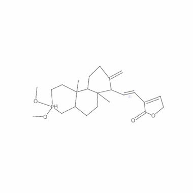 C=C1CCC2C3(C)CC[PH](OC)(OC)CC3CCC2(C)C1/C=C/C1=CCOC1=O